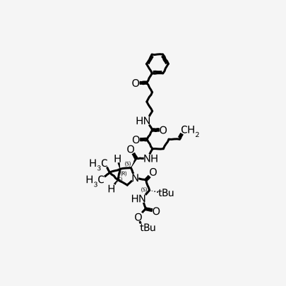 C=CCCC(NC(=O)[C@@H]1[C@@H]2[C@H](CN1C(=O)[C@@H](NC(=O)OC(C)(C)C)C(C)(C)C)C2(C)C)C(=O)C(=O)NCCCC(=O)c1ccccc1